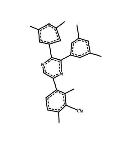 Cc1cc(C)cc(-c2ncc(-c3ccc(C)c(C#N)c3C)nc2-c2cc(C)cc(C)c2)c1